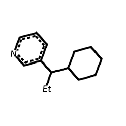 [CH2]CC(c1cccnc1)C1CCCCC1